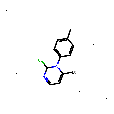 CCC1=CC=NC(Cl)N1c1ccc(C)cc1